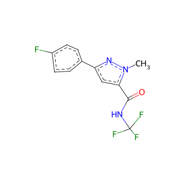 Cn1nc(-c2ccc(F)cc2)cc1C(=O)NC(F)(F)F